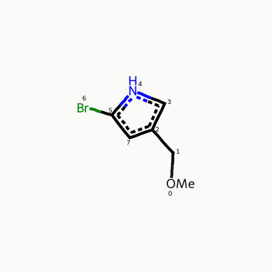 COCc1c[nH]c(Br)c1